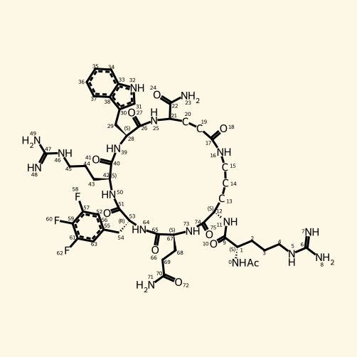 CC(=O)N[C@@H](CCCNC(=N)N)C(=O)N[C@H]1CCCNC(=O)CCC(C(N)=O)NC(=O)[C@H](Cc2c[nH]c3ccccc23)NC(=O)[C@H](CCCNC(=N)N)NC(=O)[C@@H](Cc2cc(F)c(F)c(F)c2)NC(=O)[C@H](CCC(N)=O)NC1=O